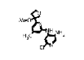 COC1(c2cc(C)cc(Nc3cc(Cl)ncc3N)n2)CCOC1